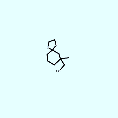 CC1(CO)CCCC2(C1)OCCO2